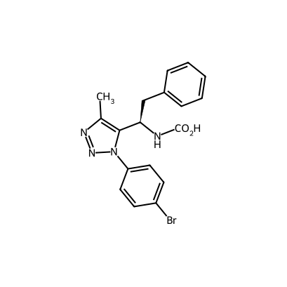 Cc1nnn(-c2ccc(Br)cc2)c1[C@@H](Cc1ccccc1)NC(=O)O